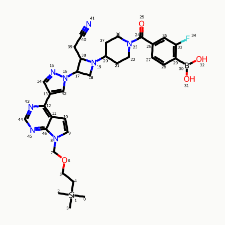 C[Si](C)(C)CCOCn1ccc2c(-c3cnn(C4CN(C5CCN(C(=O)c6ccc(B(O)O)c(F)c6)CC5)C4CC#N)c3)ncnc21